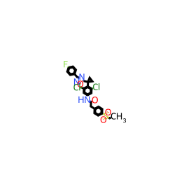 CCS(=O)(=O)c1ccc(CC(=O)Nc2cc(Cl)c(C3(c4nc(-c5ccc(F)cc5)no4)CC3)c(Cl)c2)cc1